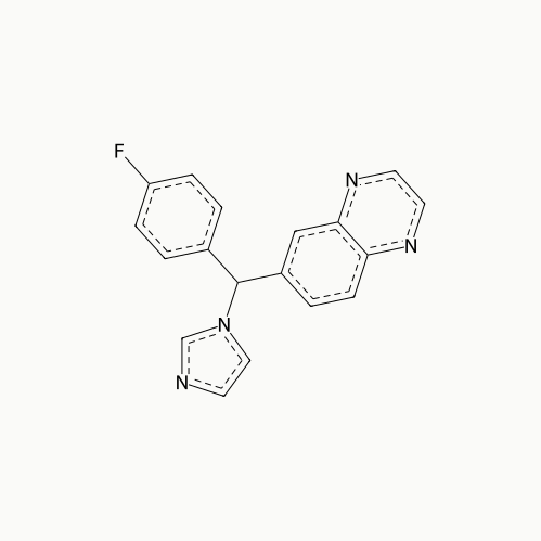 Fc1ccc(C(c2ccc3nccnc3c2)n2ccnc2)cc1